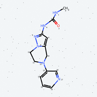 CNC(=O)Nc1cc2n(n1)CCN(c1cccnc1)C2